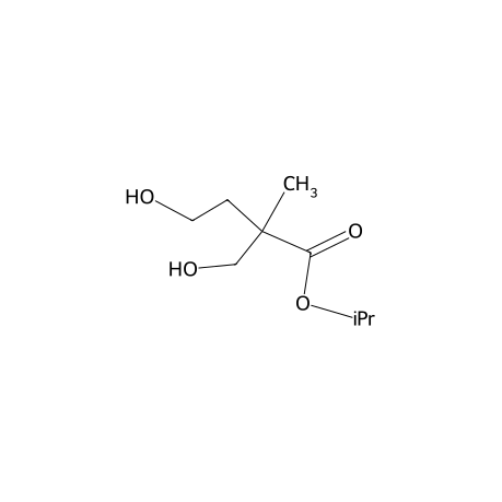 CC(C)OC(=O)C(C)(CO)CCO